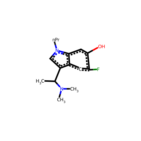 CCCn1cc(C(C)N(C)C)c2cc(F)c(O)cc21